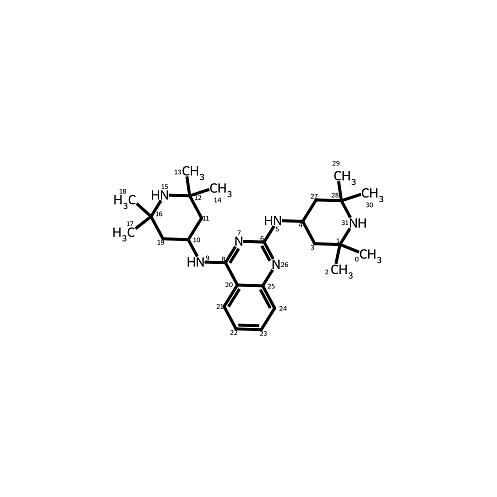 CC1(C)CC(Nc2nc(NC3CC(C)(C)NC(C)(C)C3)c3ccccc3n2)CC(C)(C)N1